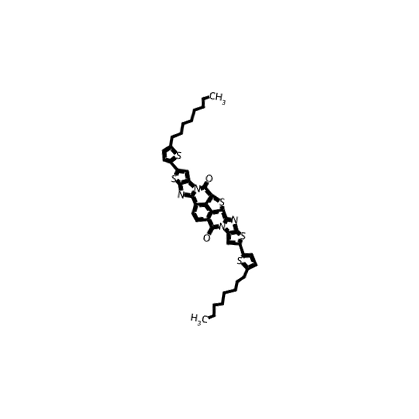 CCCCCCCCc1ccc(-c2cc3c(nc4c5ccc6c(=O)n7c8cc(-c9ccc(CCCCCCCC)s9)sc8nc7c7sc(c(=O)n34)c5c67)s2)s1